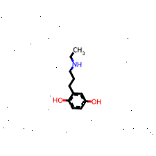 CCNCCCc1cc(O)ccc1O